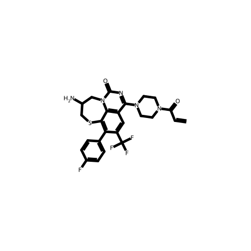 C=CC(=O)N1CCN(c2nc(=O)n3c4c(c(-c5ccc(F)cc5)c(C(F)(F)F)cc24)SCC(N)C3)CC1